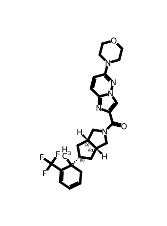 CC1([C@@H]2C[C@@H]3CN(C(=O)c4cn5nc(N6CCOCC6)ccc5n4)C[C@@H]3C2)CC=CC=C1C(F)(F)F